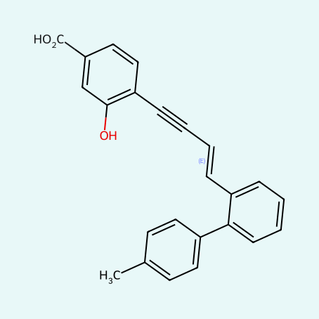 Cc1ccc(-c2ccccc2/C=C/C#Cc2ccc(C(=O)O)cc2O)cc1